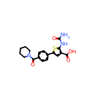 NC(=O)Nc1sc(-c2ccc(C(=O)N3CCCCC3)cc2)cc1C(=O)O